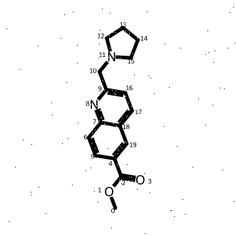 COC(=O)c1ccc2nc(CN3CCCC3)ccc2c1